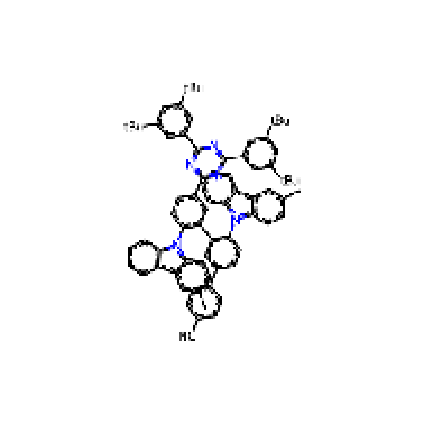 Cc1ccc2c(c1)c1ccccc1n2-c1ccc(-c2ccc(C#N)cc2)cc1-c1cc(-c2nc(-c3cc(C(C)(C)C)cc(C(C)(C)C)c3)nc(-c3cc(C(C)(C)C)cc(C(C)(C)C)c3)n2)ccc1-n1c2ccccc2c2cc(C)ccc21